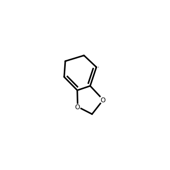 [C]1=C2OCOC2=CCC1